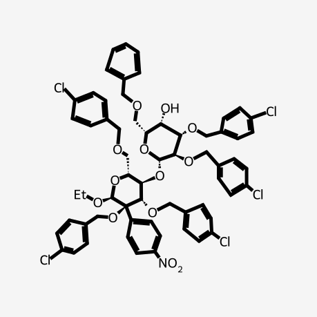 CCO[C@H]1O[C@H](COCc2ccc(Cl)cc2)[C@@H](O[C@@H]2O[C@H](COCc3ccccc3)[C@H](O)[C@H](OCc3ccc(Cl)cc3)[C@H]2OCc2ccc(Cl)cc2)[C@H](OCc2ccc(Cl)cc2)[C@]1(OCc1ccc(Cl)cc1)c1ccc([N+](=O)[O-])cc1